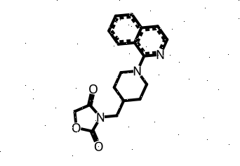 O=C1COC(=O)N1CC1CCN(c2nccc3ccccc23)CC1